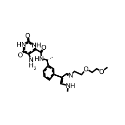 CN/C=C(\C=N\CCOCCOC)c1cccc([C@@H](C)NC(=O)c2[nH]c(=O)[nH]c(=O)c2N)c1